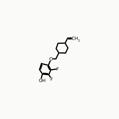 C=CC1CCC(COc2ccc(O)c(F)c2F)CC1